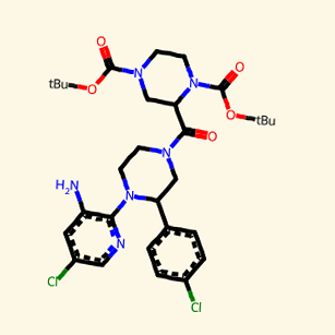 CC(C)(C)OC(=O)N1CCN(C(=O)OC(C)(C)C)C(C(=O)N2CCN(c3ncc(Cl)cc3N)C(c3ccc(Cl)cc3)C2)C1